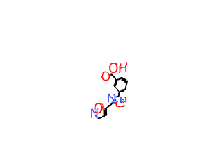 O=C(O)c1cccc(-c2noc(-c3ccno3)n2)c1